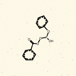 O=C(OOP(O)Oc1ccccc1)c1ccccc1